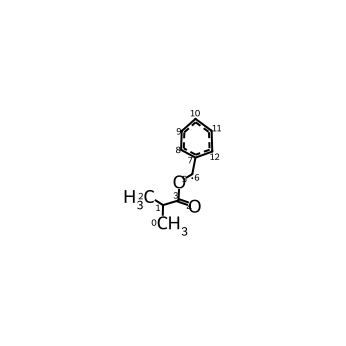 CC(C)C(=O)O[CH]c1ccccc1